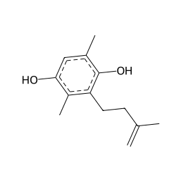 C=C(C)CCc1c(C)c(O)cc(C)c1O